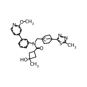 COc1cc(-c2cccc(N(CC34CCC(c5nnc(C)s5)(CC3)CC4)C(=O)C3CC(C)(O)C3)c2)ccn1